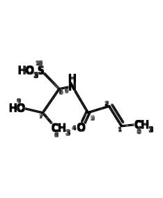 CC=CC(=O)NC(C(C)O)S(=O)(=O)O